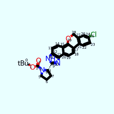 CC(C)(C)OC(=O)N1CCC[C@H]1c1nc2c(ccc3c4c(ccc32)-c2ccc(Cl)cc2CO4)[nH]1